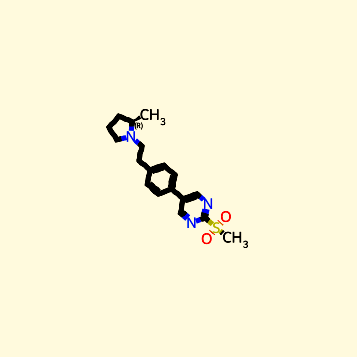 C[C@@H]1CCCN1CCc1ccc(-c2cnc(S(C)(=O)=O)nc2)cc1